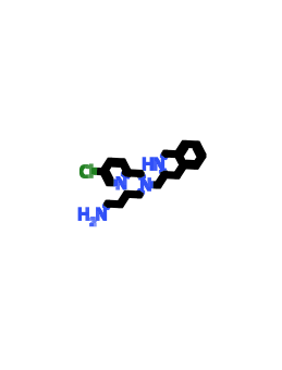 NCCCCN(Cc1ccc(Cl)cn1)CC1Cc2ccccc2CN1